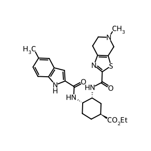 CCOC(=O)[C@H]1CC[C@H](NC(=O)c2cc3cc(C)ccc3[nH]2)[C@H](NC(=O)c2nc3c(s2)CN(C)CC3)C1